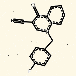 N#Cc1cn(Cc2ccc(F)cc2)c2ccccc2c1=O